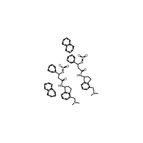 CN(C)Cc1cccc2c1CCC2NC(=O)CC(N=S(=O)=O)c1ccccc1.CN(C)Cc1cccc2c1CCC2NC(=O)CC(N=S(=O)=O)c1ccccc1.c1ccc2ccccc2c1.c1ccc2ccccc2c1